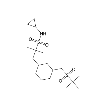 CC(C)(C)S(=O)(=O)CC1CCCC(CC(C)(C)S(=O)(=O)NC2CC2)C1